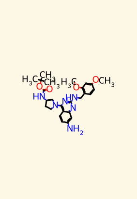 COc1ccc(CNc2nc(N3CC[C@@H](NC(=O)OC(C)(C)C)C3)c3ccc(N)cc3n2)c(OC)c1